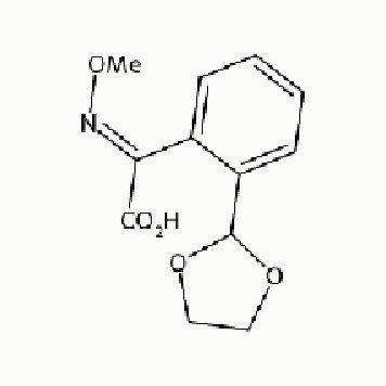 CO/N=C(/C(=O)O)c1ccccc1C1OCCO1